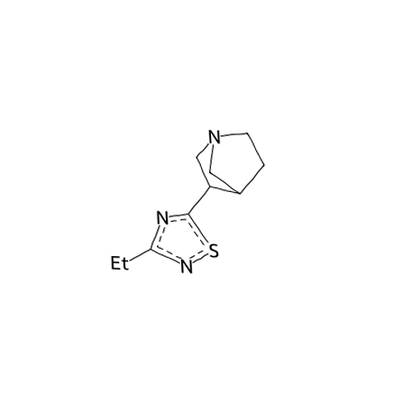 CCc1nsc(C2CN3CCC2C3)n1